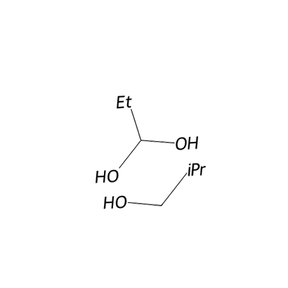 CC(C)CO.CCC(O)O